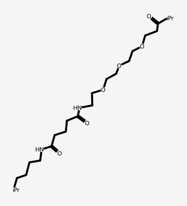 CC(C)CCCCNC(=O)CCCC(=O)NCCOCCOCCOCCC(=O)C(C)C